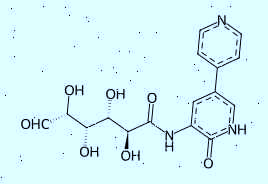 O=C[C@H](O)[C@@H](O)[C@H](O)[C@H](O)C(=O)Nc1cc(-c2ccncc2)c[nH]c1=O